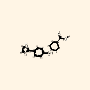 COC(=O)[C@H]1CC[C@H](Nc2ccc(-c3ncco3)cc2)CC1